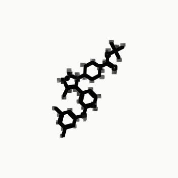 Cc1cc(C)cc(Oc2cc(-c3c(C)nnn3C3CCN(C(=O)OC(C)(C)C)CC3)ccn2)c1